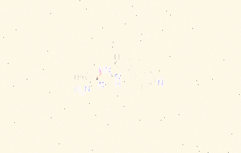 Cc1ncsc1C1C=CC(C(C)NC(=N)[C@@H]2CCCN2C(=O)[C@@H](N)C(C)(C)C)=CCC1